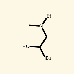 CCC(C)C(O)CN(C)CC